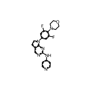 Fc1cc(-n2ccc3cnc(Nc4ccncc4)nc32)cc(F)c1N1CCOCC1